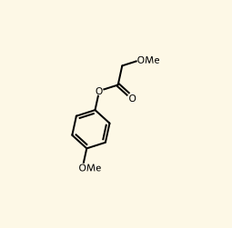 COCC(=O)Oc1ccc(OC)cc1